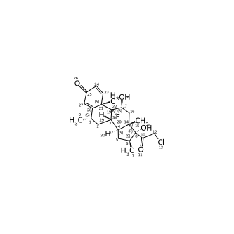 C[C@H]1C[C@H]2[C@@H]3C[C@H](C)[C@](O)(C(=O)CCl)[C@@]3(C)C[C@H](O)[C@]2(F)[C@@]2(C)C=CC(=O)C=C12